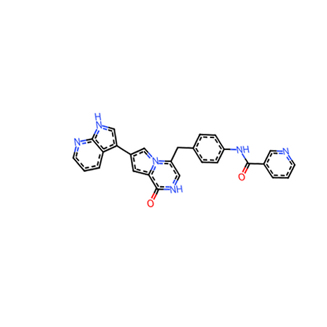 O=C(Nc1ccc(Cc2c[nH]c(=O)c3cc(-c4c[nH]c5ncccc45)cn23)cc1)c1cccnc1